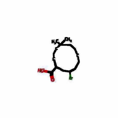 CC1(C)CCCCCC(Br)CC(C(=O)O)CCC1